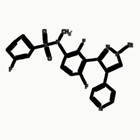 [CH2]N(c1ccc(F)c(-c2nn(CC)cc2-c2ccncc2)c1F)S(=O)(=O)c1cccc(F)c1